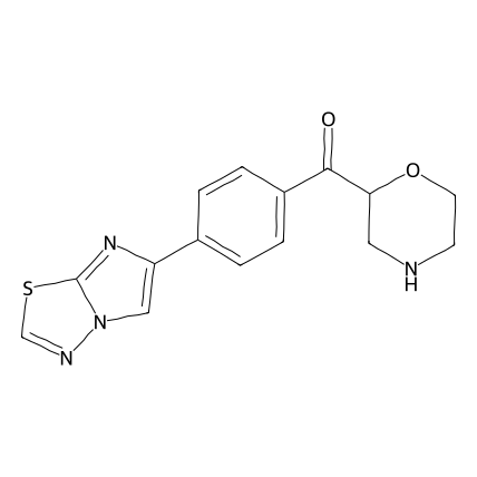 O=C(c1ccc(-c2cn3ncsc3n2)cc1)C1CNCCO1